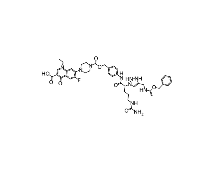 C=C(NCC1=CN([C@@H](CCCNC(N)=O)C(=O)Nc2ccc(COC(=O)N3CCN(c4cc5c(cc4F)c(=O)c(C(=O)O)cn5CC)CC3)cc2)NN1)OCc1ccccc1